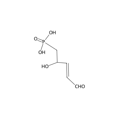 O=C/C=C/C(O)CP(=O)(O)O